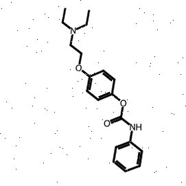 CCN(CC)CCOc1ccc(OC(=O)Nc2ccccc2)cc1